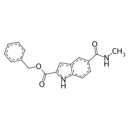 CNC(=O)c1ccc2[nH]c(C(=O)OCc3ccccc3)cc2c1